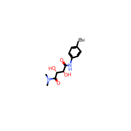 CCC(C)c1ccc(NC(=O)[C@H](O)[C@@H](O)C(=O)N(C)C)cc1